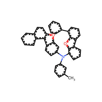 Cc1cccc(N(c2ccc3c(c2)oc2ccc4ccccc4c23)c2cccc3c2oc2c(-c4ccccc4)cccc23)c1